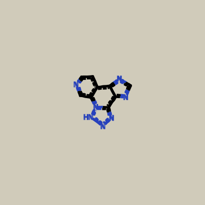 c1cc2c3ncnc-3c3nn[nH]n3c2cn1